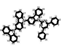 c1ccc(-c2cc(-c3ccccc3)nc(-n3c4ccccc4c4cc(-n5c6ccccc6c6cc(-n7c8ccccc8c8ccccc87)ccc65)ccc43)n2)cc1